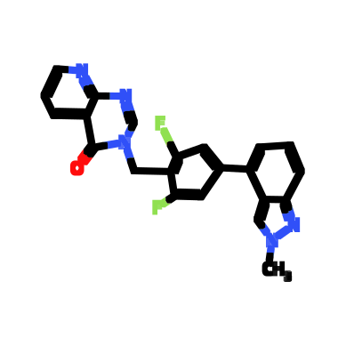 Cn1cc2c(-c3cc(F)c(Cn4cnc5ncccc5c4=O)c(F)c3)cccc2n1